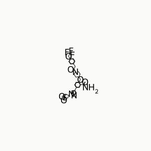 NC(=O)c1cc(-c2cnn(C3CS(=O)(=O)C3)c2)ccc1OC1CCN(C(=O)Cc2ccc(OC(F)(F)F)cc2)CC1